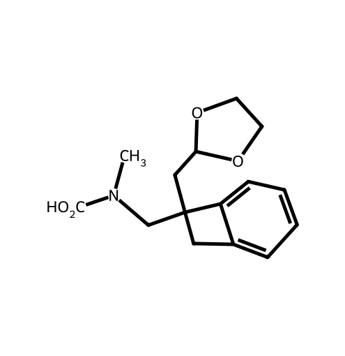 CN(CC1(CC2OCCO2)Cc2ccccc21)C(=O)O